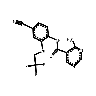 Cc1ncncc1C(=O)Nc1ccc(C#N)cc1NCC(F)(F)F